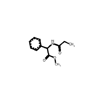 CCC(=O)NC(C(=O)OC)c1ccccc1